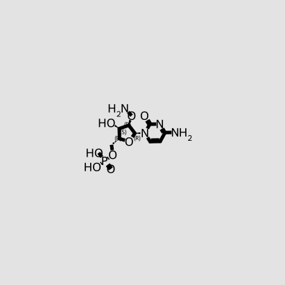 NO[C@@H]1[C@@H](O)[C@@H](COP(=O)(O)O)O[C@H]1n1ccc(N)nc1=O